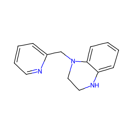 c1ccc(CN2CCNc3ccccc32)nc1